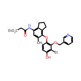 CCOC(=O)CC(=O)Nc1cc(C)c(Oc2ccc(O)c(CC)c2OCc2cccnc2)c2c1CCC2